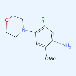 COc1cc(N2CCOCC2)c(Cl)cc1N